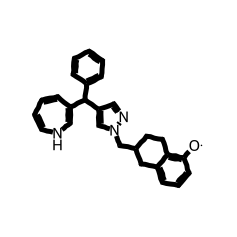 [O]c1cccc2c1CCC(Cn1cc(C(C3=CNC=CC=C3)c3ccccc3)cn1)C2